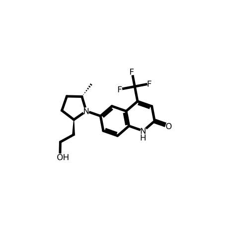 C[C@H]1CC[C@H](CCO)N1c1ccc2[nH]c(=O)cc(C(F)(F)F)c2c1